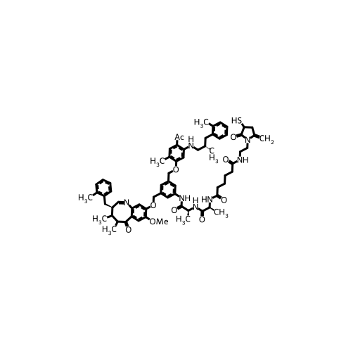 C=C1CC(S)C(=O)N1CCNC(=O)CCCCC(=O)N[C@@H](C)C(=O)N[C@@H](C)C(=O)Nc1cc(COc2cc(NC[C@@H](C)Cc3ccccc3C)c(C(C)=O)cc2C)cc(COc2cc3c(cc2OC)C(=O)C(C)C(C)[C@@H](Cc2ccccc2C)/C=N\3)c1